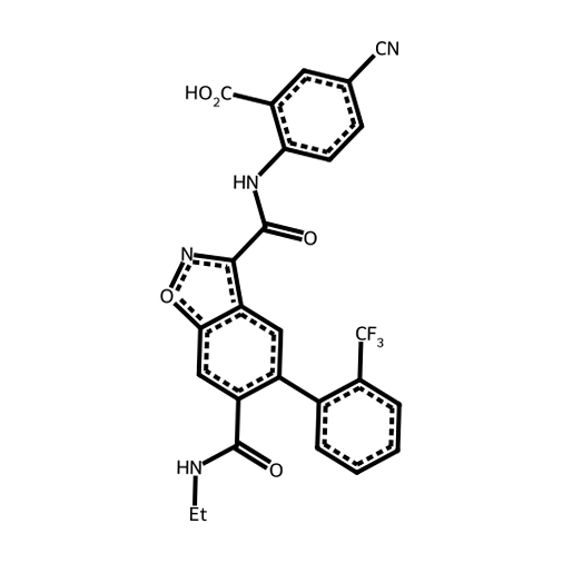 CCNC(=O)c1cc2onc(C(=O)Nc3ccc(C#N)cc3C(=O)O)c2cc1-c1ccccc1C(F)(F)F